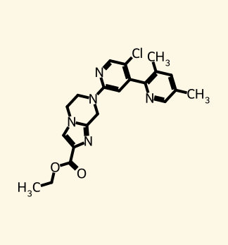 CCOC(=O)c1cn2c(n1)CN(c1cc(-c3ncc(C)cc3C)c(Cl)cn1)CC2